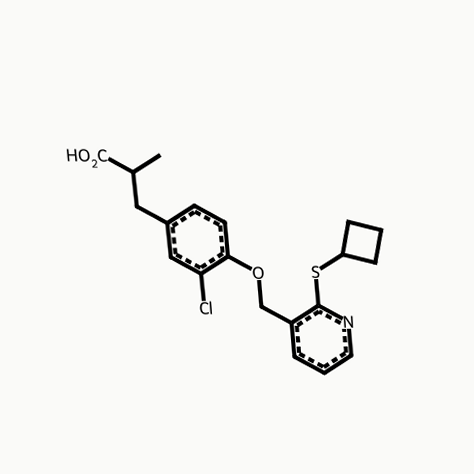 CC(Cc1ccc(OCc2cccnc2SC2CCC2)c(Cl)c1)C(=O)O